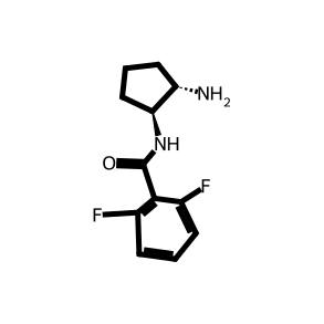 N[C@H]1CCC[C@@H]1NC(=O)c1c(F)cccc1F